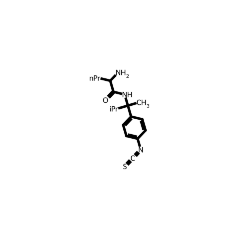 CCCC(N)C(=O)NC(C)(c1ccc(N=C=S)cc1)C(C)C